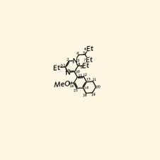 CCC1=CN(CC(CC)CC)C(CC)C(c2cc3c(cc2OC)CCCC3)=N1